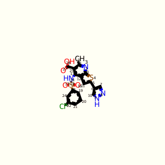 Cc1nc2sc(-c3cn[nH]c3)cc2c(NS(=O)(=O)c2cccc(Cl)c2)c1C(=O)O